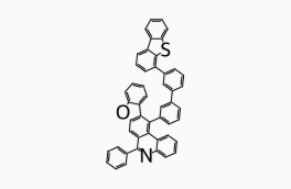 c1ccc(-c2nc3ccccc3c3c(-c4cccc(-c5cccc(-c6cccc7c6sc6ccccc67)c5)c4)c4c(cc23)oc2ccccc24)cc1